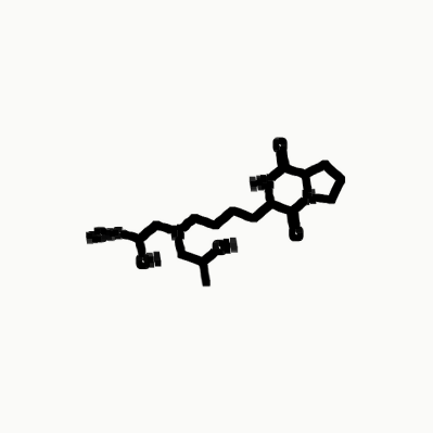 CCCCCCCCCCC(O)CN(CCCCC1NC(=O)C2CCCN2C1=O)CC(C)O